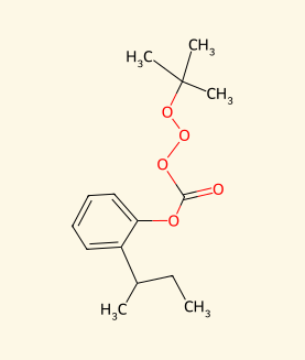 CCC(C)c1ccccc1OC(=O)OOOC(C)(C)C